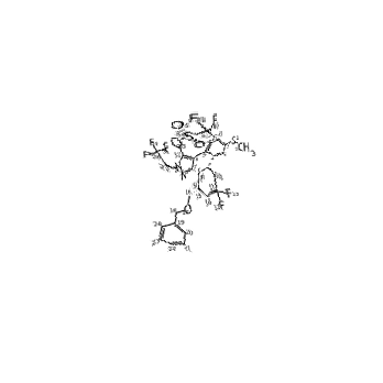 CSc1ccc(-c2c([C@@H]3CCC(F)(F)C[C@@H]3COCc3ccccc3)nn(CC(F)(F)F)c2OS(=O)(=O)C(F)(F)F)cc1